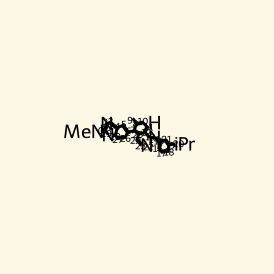 CNc1ncc2cc(-c3c(C)ccc4c(Nc5cccc(C(C)C)c5)nccc34)ccc2n1